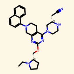 CCN1CCC[C@H]1COc1nc2c(c(N3CCN[C@@H](CC#N)C3)n1)CCN(c1cccc3ccccc13)C2